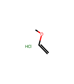 C=COC.Cl